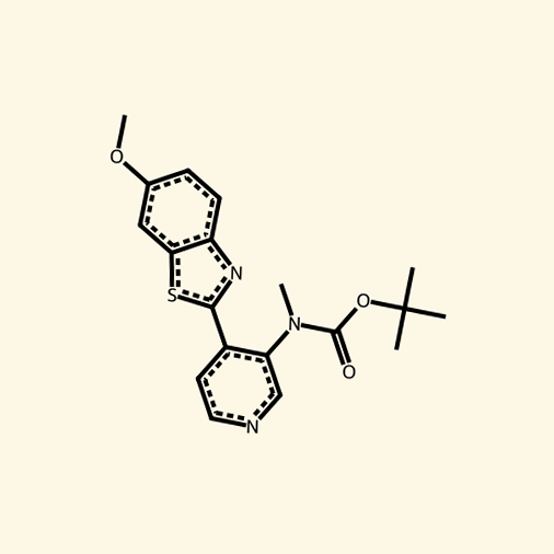 COc1ccc2nc(-c3ccncc3N(C)C(=O)OC(C)(C)C)sc2c1